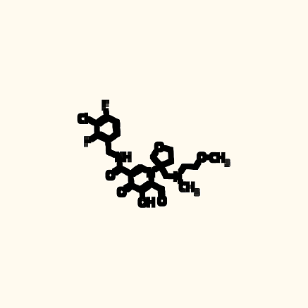 COCCN(C)CC1(n2cc(C(=O)NCc3ccc(F)c(Cl)c3F)c(=O)c(O)c2C=O)CCOC1